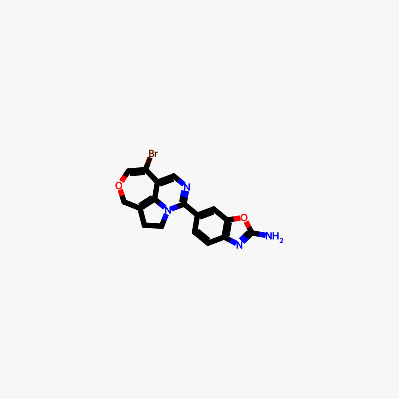 Nc1nc2ccc(C3=NC=C4C(Br)=COCC5=C4N3CC5)cc2o1